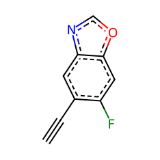 C#Cc1cc2ncoc2cc1F